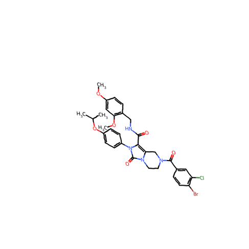 COc1ccc(CNC(=O)c2c3n(c(=O)n2-c2ccc(OC(C)C)cc2)CCN(C(=O)c2ccc(Br)c(Cl)c2)C3)c(OC)c1